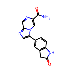 NC(=O)c1cn2c(-c3ccc4c(c3)CC(=O)N4)cnc2cn1